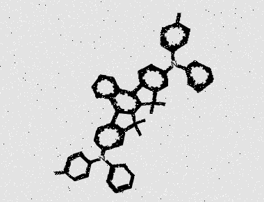 CC1=CCC(N(C2=CC=CCC2)c2ccc3c(c2)C(C)(C)c2c4c(c5ccccc5c2-3)-c2ccc(N(c3ccccc3)c3ccc(C)cc3)cc2C4(C)C)C=C1